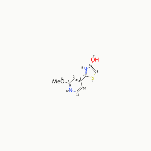 COc1cc(-c2nc(O)cs2)ccn1